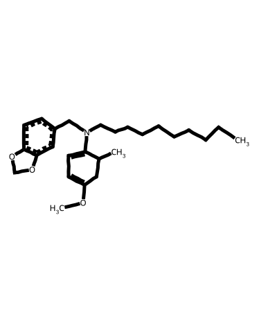 CCCCCCCCCCN(Cc1ccc2c(c1)OCO2)C1=CC=C(OC)CC1C